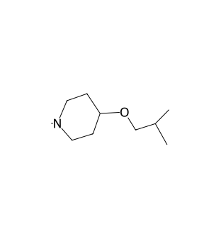 CC(C)COC1CC[N]CC1